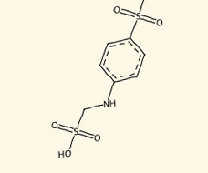 NS(=O)(=O)c1ccc(NCS(=O)(=O)O)cc1